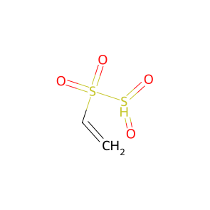 C=CS(=O)(=O)[SH](=O)=O